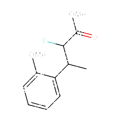 COC(=O)C(F)C(C)c1ccccc1OC